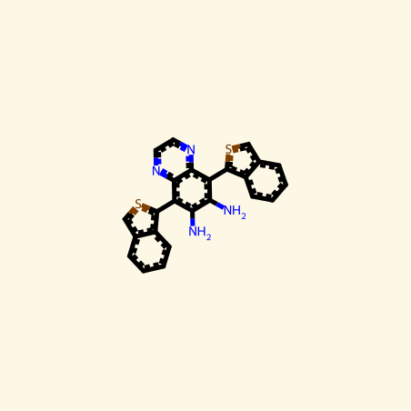 Nc1c(N)c(-c2scc3ccccc23)c2nccnc2c1-c1scc2ccccc12